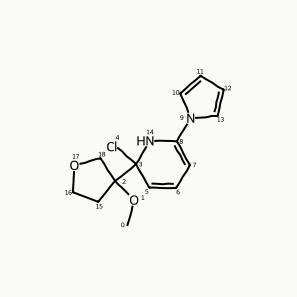 COC1(C2(Cl)C=CC=C(n3cccc3)N2)CCOC1